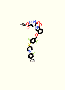 CC(C)(C)OC(=O)CC[C@@H](C(N)=O)N1Cc2c(OCc3cc(F)c(SC4CCN(c5ccc(C#N)cc5F)CC4)cc3F)cccc2C1=O